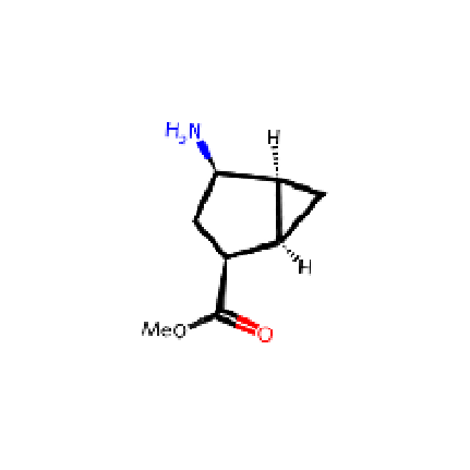 COC(=O)[C@H]1C[C@@H](N)[C@H]2C[C@H]21